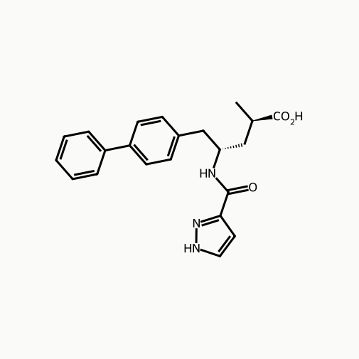 C[C@H](C[C@@H](Cc1ccc(-c2ccccc2)cc1)NC(=O)c1cc[nH]n1)C(=O)O